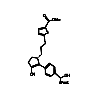 CCCCCC(O)c1ccc(C2=C(C#N)CC[C@@H]2CCCc2ccc(C(=O)OC)s2)cc1